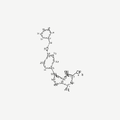 CCc1nc(C(F)(F)F)nc2c1ncn2-c1ccc(OCc2ccccc2)cc1